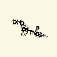 CC1(N2CC3(CCOCC3)C2)CCC(Nc2cccc3c2cc(C#CCNc2ccc(S(N)(=O)=O)cc2OCC#N)n3CC(F)(F)F)CC1